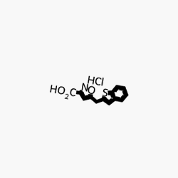 Cl.O=C(O)c1cc(Cc2cc3ccccc3s2)on1